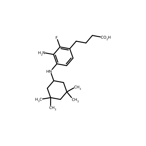 CC1(C)CC(Nc2ccc(CCCC(=O)O)c(F)c2N)CC(C)(C)C1